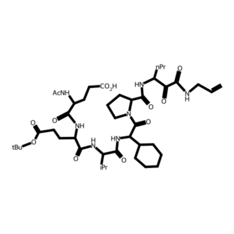 C=CCNC(=O)C(=O)C(CCC)NC(=O)C1CCCN1C(=O)C(NC(=O)C(NC(=O)C(CCC(=O)OC(C)(C)C)NC(=O)C(CCC(=O)O)NC(C)=O)C(C)C)C1CCCCC1